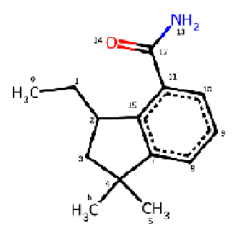 CCC1CC(C)(C)c2cccc(C(N)=O)c21